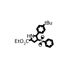 CCOC(=O)C1CC(S(=O)(=O)c2ccccc2)C(c2ccc(C(C)(C)C)cc2)N1